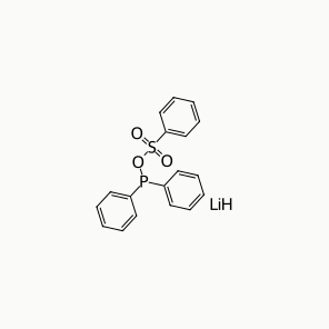 O=S(=O)(OP(c1ccccc1)c1ccccc1)c1ccccc1.[LiH]